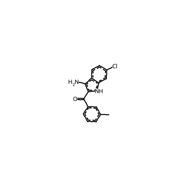 Cc1cccc(C(=O)c2[nH]c3cc(Cl)ccc3c2N)c1